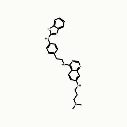 CN(C)CCCNc1ccc2c(NCCc3ccc(Nc4nc5ccccc5[nH]4)cc3)ncnc2c1